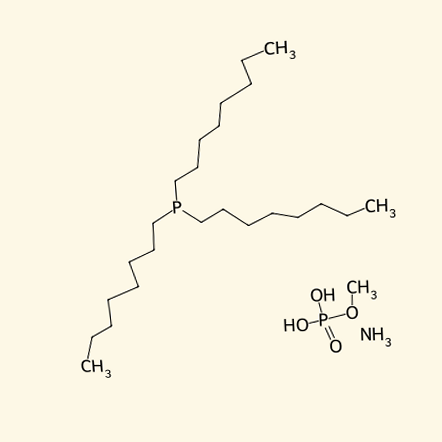 CCCCCCCCP(CCCCCCCC)CCCCCCCC.COP(=O)(O)O.N